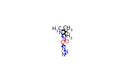 Cc1nc2c(c(C)c1C)CN(C(=O)OC1CN(c3ncns3)C1)C2